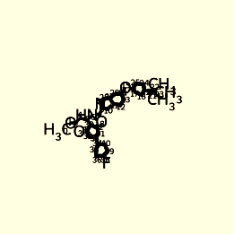 COC(=O)CC(NC(=O)c1cc2ccc(Oc3ccc(C(C)(C)C)cc3)cc2cn1)c1ccc(-c2ccc(F)cc2)cc1